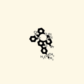 CCC1(CC)Oc2ccccc2-c2n(C)c3ccccc3[n+]2-c2ccc3c(oc4cc([Si](C)(C)C)ccc43)c2-c2cc(C(C)C)cc[n+]21